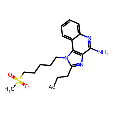 CC(=O)CCc1nc2c(N)nc3ccccc3c2n1CCCCCS(C)(=O)=O